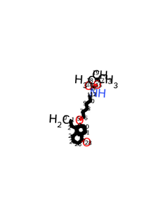 C=CCc1c(OCCCCCCNC(=O)OC(C)(C)C)ccc2c1CCCC2=O